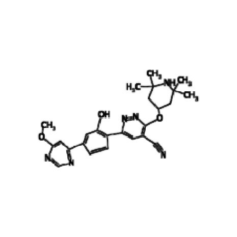 COc1cc(-c2ccc(-c3cc(C#N)c(OC4CC(C)(C)NC(C)(C)C4)nn3)c(O)c2)ncn1